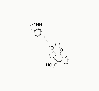 O=C(O)[C@H](c1ccccc1COC1CCC1)N1CC[C@@H](OCCCCc2ccc3c(n2)NCCC3)C1